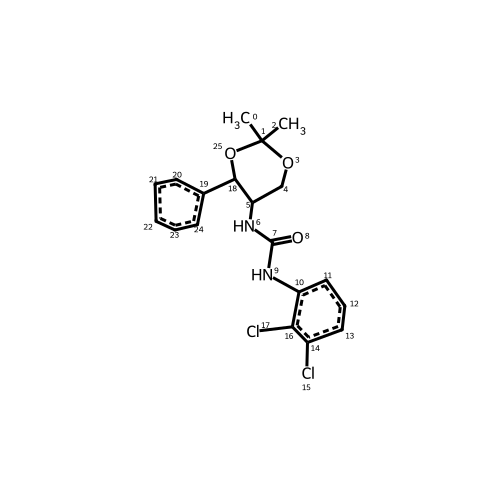 CC1(C)OCC(NC(=O)Nc2cccc(Cl)c2Cl)C(c2ccccc2)O1